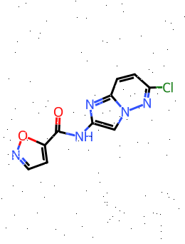 O=C(Nc1cn2nc(Cl)ccc2n1)c1ccno1